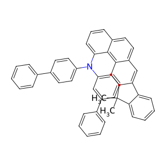 CC1(C)c2ccccc2-c2cc3ccc4cccc(N(c5ccc(-c6ccccc6)cc5)c5cccc(-c6ccccc6)c5)c4c3cc21